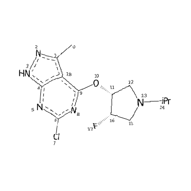 Cc1n[nH]c2nc(Cl)nc(O[C@@H]3CN(C(C)C)C[C@@H]3F)c12